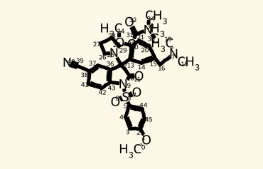 COc1ccc(S(=O)(=O)N2C(=O)C(c3cc(CN(C)C)ccc3OC)(N3CCC[C@@H]3OC(=O)N(C)C)c3cc(C#N)ccc32)cc1